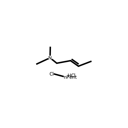 CC=CCN(C)C.CCCCCCl.Cl